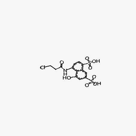 O=C(CCCl)Nc1ccc(S(=O)(=O)O)c2cc(S(=O)(=O)O)cc(O)c12